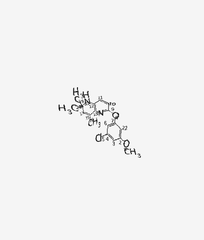 COc1cc(Cl)cc(Oc2ccc3c(n2)C(C)=CC(C)(C)N3)c1